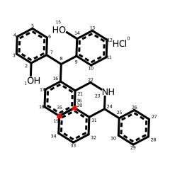 Cl.Oc1ccccc1C(c1ccccc1O)c1ccccc1CNC(c1ccccc1)c1ccccc1